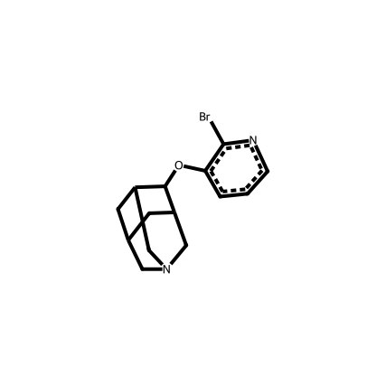 Brc1ncccc1OC1C2CC3CC1CN(C3)C2